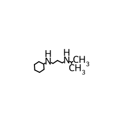 CC(C)NCCCNC1CCCCC1